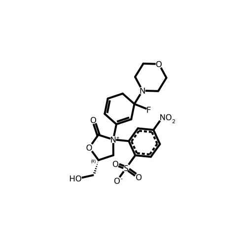 O=C1O[C@@H](CO)C[N+]1(C1=CC(F)(N2CCOCC2)CC=C1)c1cc([N+](=O)[O-])ccc1S(=O)(=O)[O-]